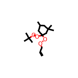 C=CCOOC1(OOC(C)(C)C)CC(C)CC(C)(C)C1